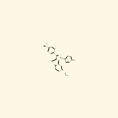 CCOc1ccc2ncc3c(-c4ccc([N+](=O)[O-])cc4)nn(-c4ccc(F)cc4)c3c2c1